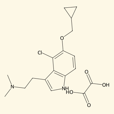 CN(C)CCc1c[nH]c2ccc(OCC3CC3)c(Cl)c12.O=C(O)C(=O)O